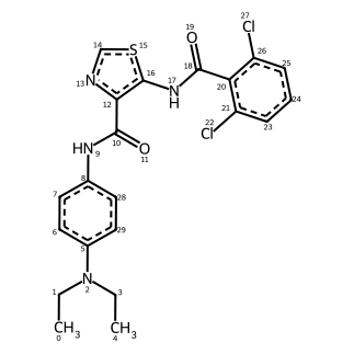 CCN(CC)c1ccc(NC(=O)c2ncsc2NC(=O)c2c(Cl)cccc2Cl)cc1